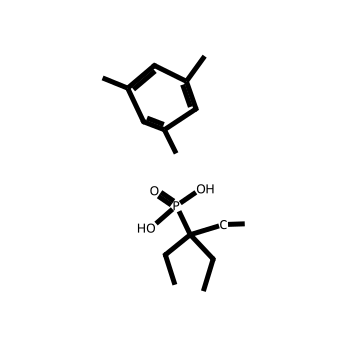 CCC(CC)(CC)P(=O)(O)O.Cc1cc(C)cc(C)c1